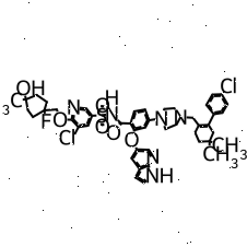 CC1(C)CCC(CN2CCN(c3ccc(C(=O)NS(=O)(=O)c4cnc(OCC5(F)CCC(C)(O)CC5)c(Cl)c4)c(Oc4cnc5[nH]ccc5c4)c3)CC2)=C(c2ccc(Cl)cc2)C1